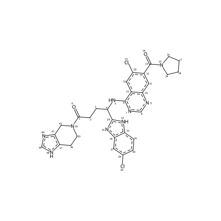 O=C(CCC(Nc1ncnc2cc(C(=O)N3CCCC3)c(Cl)cc12)c1nc2cc(Cl)ccc2[nH]1)N1CCc2[nH]cnc2C1